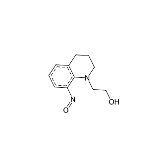 O=Nc1cccc2c1N(CCO)CCC2